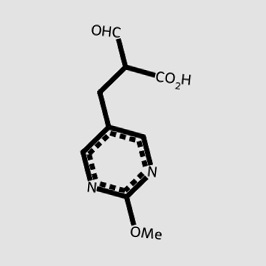 COc1ncc(CC(C=O)C(=O)O)cn1